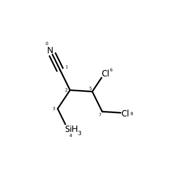 N#CC(C[SiH3])C(Cl)CCl